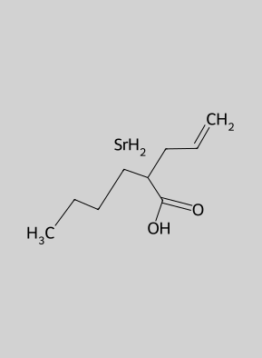 C=CCC(CCCC)C(=O)O.[SrH2]